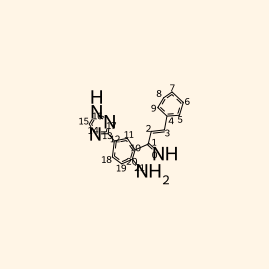 N=C(/C=C/c1ccccc1)c1cc(-c2nc[nH]n2)ccc1N